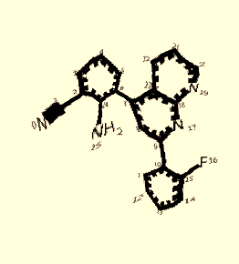 N#Cc1cccc(-c2cc(-c3ccccc3F)nc3ncccc23)c1N